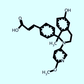 COc1ccc(N2CCc3cc(O)ccc3C2(C)c2ccc(/C=C/C(=O)O)cc2)cn1